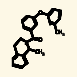 Cc1[c]c(Oc2cccc(C(=O)N3CCc4ccccc4C3C)c2)ccc1